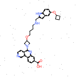 O=C(O)c1ccc2c(c1)nc(N1CC(OCCCCNCc3cc4cc(OC5CCC5)ccc4[nH]3)C1)c1ccncc12